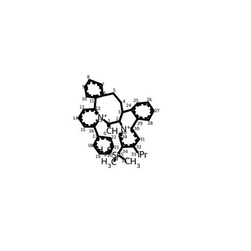 C=C1C2C(CCc3ccccc3-c3cccc(-c4ccccc4)[n+]31)c1ccccc1-c1cc(C(C)C)c([Si](C)(C)C)c[n+]12